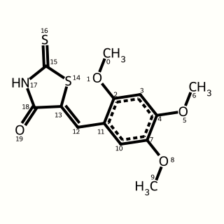 COc1cc(OC)c(OC)cc1C=C1SC(=S)NC1=O